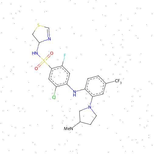 CNC1CCN(c2cc(C(F)(F)F)ccc2Nc2cc(F)c(S(=O)(=O)NC3CSC=N3)cc2Cl)C1